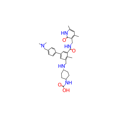 Cc1cc(C)c(CNC(=O)c2cc(-c3ccc(CN(C)C)cc3)cc(CN[C@H]3CC[C@H](NC(=O)O)CC3)c2C)c(=O)[nH]1